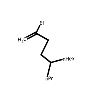 C=C(CC)CCC(CCC)CCCCCC